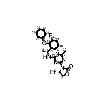 CC[C@H]1COC(=O)N1c1nc(C)nc(N[C@@H](C)c2cccc(F)c2Oc2ccccc2)n1